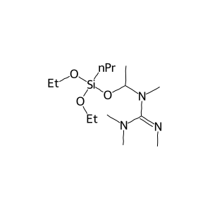 CCC[Si](OCC)(OCC)OC(C)N(C)C(=NC)N(C)C